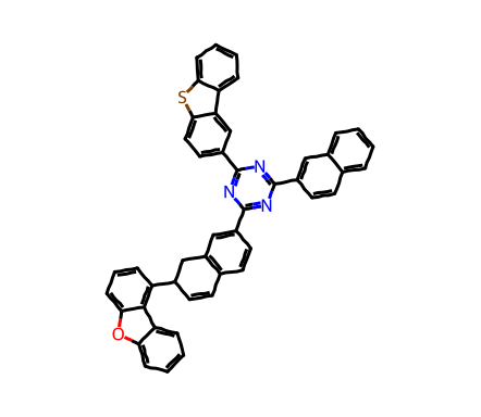 C1=CC(c2cccc3oc4ccccc4c23)Cc2cc(-c3nc(-c4ccc5ccccc5c4)nc(-c4ccc5sc6ccccc6c5c4)n3)ccc21